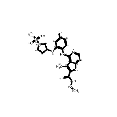 CONC(=O)c1sc2ncnc(Nc3ccc(F)cc3OC3CCN(S(C)(=O)=O)C3)c2c1C